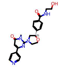 Cn1c(N2CCO[C@@H](c3ccc(C(=O)NCCO)cc3)C2)nc(-c2ccncc2)cc1=O